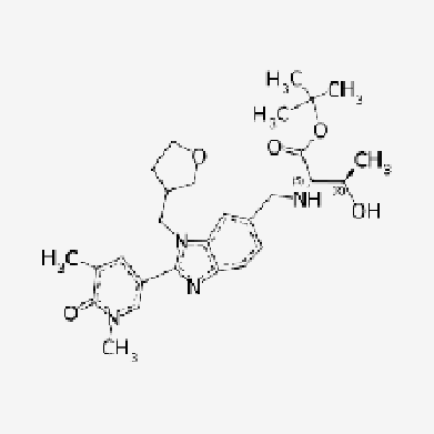 Cc1cc(-c2nc3ccc(CN[C@H](C(=O)OC(C)(C)C)[C@@H](C)O)cc3n2CC2CCOC2)cn(C)c1=O